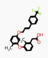 Cc1ccc(OCC=Cc2ccc(C(F)(F)F)cc2)cc1Oc1cccc(CC(=O)O)c1C